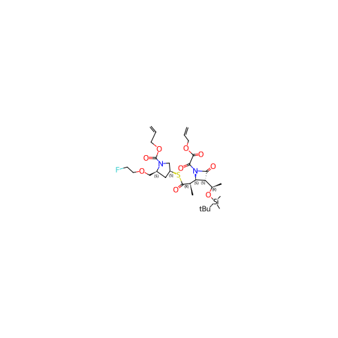 C=CCOC(=O)C(=O)N1C(=O)[C@H]([C@@H](C)O[Si](C)(C)C(C)(C)C)[C@H]1[C@@H](C)C(=O)S[C@H]1C[C@@H](COCCF)N(C(=O)OCC=C)C1